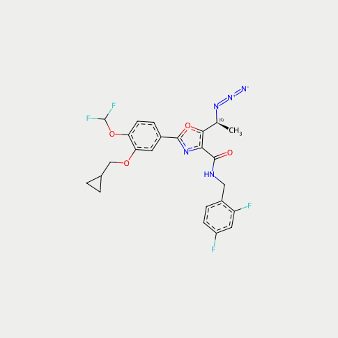 C[C@H](N=[N+]=[N-])c1oc(-c2ccc(OC(F)F)c(OCC3CC3)c2)nc1C(=O)NCc1ccc(F)cc1F